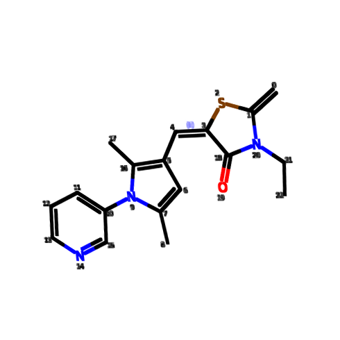 C=c1s/c(=C/c2cc(C)n(-c3cccnc3)c2C)c(=O)n1CC